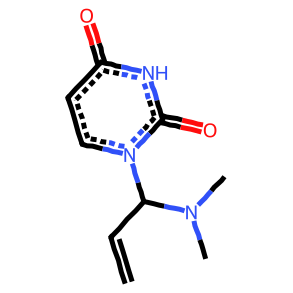 C=CC(N(C)C)n1ccc(=O)[nH]c1=O